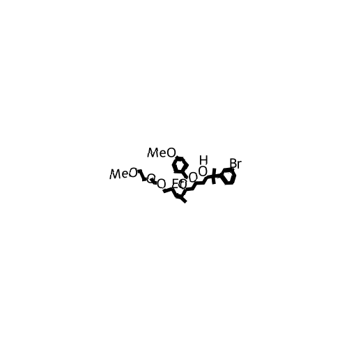 CCC(/C=C(/C)C(CC(=O)CC(O)C(C)(C)c1cccc(Br)c1)OCc1ccc(OC)cc1)COCOCCOC